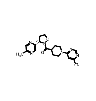 Cc1cnc([C@@H]2CCON2C(=O)C2CCN(c3cc(C#N)ncn3)CC2)cn1